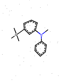 CN(c1ccccc1)c1cccc([Si](C)(C)C)c1